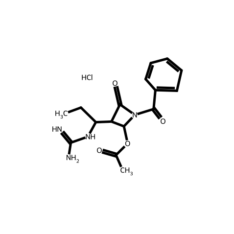 CCC(NC(=N)N)C1C(=O)N(C(=O)c2ccccc2)C1OC(C)=O.Cl